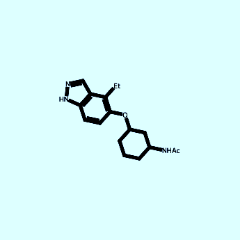 CCc1c(OC2CCCC(NC(C)=O)C2)ccc2[nH]ncc12